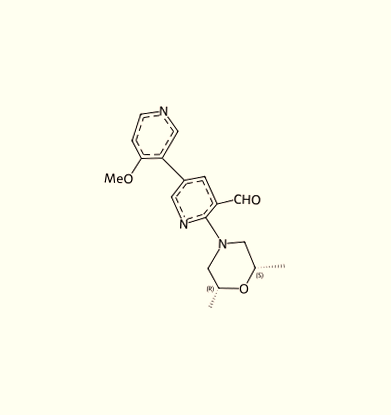 COc1ccncc1-c1cnc(N2C[C@@H](C)O[C@@H](C)C2)c(C=O)c1